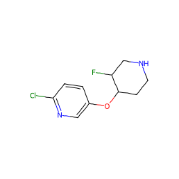 FC1CNCCC1Oc1ccc(Cl)nc1